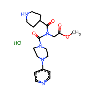 COC(=O)CN(C(=O)C1CCNCC1)C(=O)N1CCN(c2ccncc2)CC1.Cl